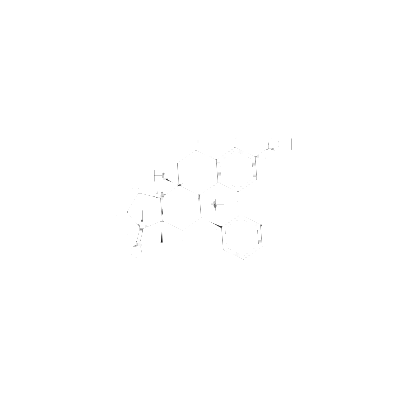 C[C@]12C[C@H](c3ccccc3)[C@@H]3c4ccc(O)cc4CC[C@H]3[C@@H]1CCC2=O